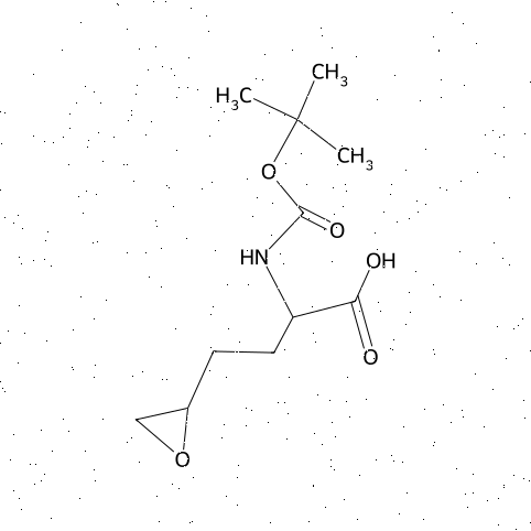 CC(C)(C)OC(=O)NC(CCC1CO1)C(=O)O